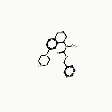 CN(C(=O)OCc1ccccc1)C1CCCc2ccc(N3CCNCC3)cc21